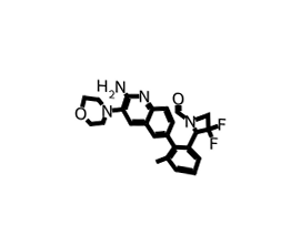 Cc1cccc(C2N(C=O)CC2(F)F)c1-c1ccc2nc(N)c(N3CCOCC3)cc2c1